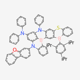 CC(C)c1cc(C(C)C)c(B2c3ccccc3Sc3cc4c(cc32)B2c3ccccc3N(c3ccc5c(c3)oc3ccccc35)c3cc(N(c5ccccc5)c5ccccc5)cc(c32)N4c2ccccc2)c(C(C)C)c1